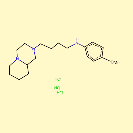 COc1ccc(NCCCCN2CCN3CCCCC3C2)cc1.Cl.Cl.Cl